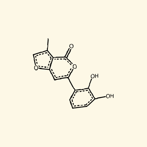 Cc1coc2cc(-c3cccc(O)c3O)oc(=O)c12